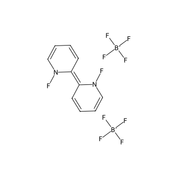 FN1C=CC=CC1=C1C=CC=CN1F.F[B-](F)(F)F.F[B-](F)(F)F